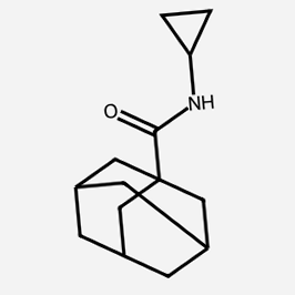 O=C(NC1CC1)C12CC3CC(CC(C3)C1)C2